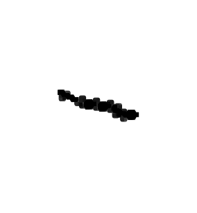 C=CC(=O)OCCCCOC(=O)Oc1ccc(C(=O)Oc2ccc(C(=O)O[C@H]3COC4C3OC[C@H]4OC(=O)c3ccc(C)cc3)cc2)cc1